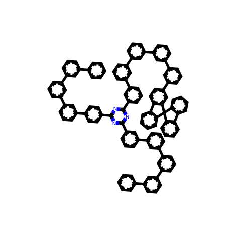 c1ccc(-c2cccc(-c3cccc(-c4cccc(-c5ccc(-c6nc(-c7cccc(-c8cccc(-c9cccc(-c%10cccc(-c%11ccccc%11)c%10)c9)c8)c7)nc(-c7cccc(-c8cccc(-c9cccc(-c%10cccc(-c%11cccc(-c%12ccc%13c(c%12)C%12(c%14ccccc%14-c%14ccccc%14%12)c%12ccccc%12-%13)c%11)c%10)c9)c8)c7)n6)cc5)c4)c3)c2)cc1